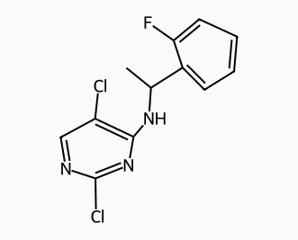 CC(Nc1nc(Cl)ncc1Cl)c1ccccc1F